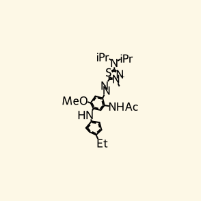 CCc1ccc(Nc2cc(NC(C)=O)c(N=Nc3sc(N(C(C)C)C(C)C)n[n+]3C)cc2OC)cc1